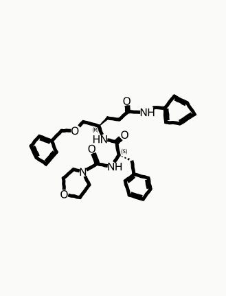 O=C(CC[C@H](COCc1ccccc1)NC(=O)[C@H](Cc1ccccc1)NC(=O)N1CCOCC1)NCc1ccccc1